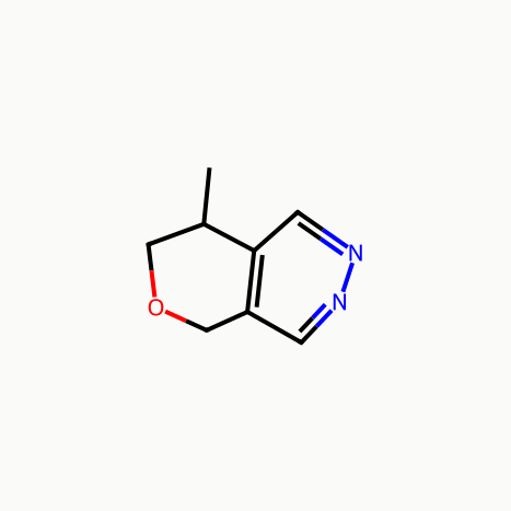 CC1COCc2cnncc21